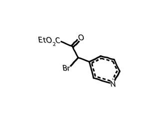 CCOC(=O)C(=O)C(Br)c1cccnc1